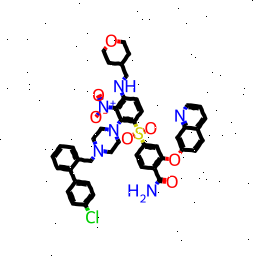 NC(=O)c1ccc(S(=O)(=O)c2ccc(NCC3CCOCC3)c([N+](=O)[O-])c2N2CCN(Cc3ccccc3-c3ccc(Cl)cc3)CC2)cc1Oc1ccc2cccnc2c1